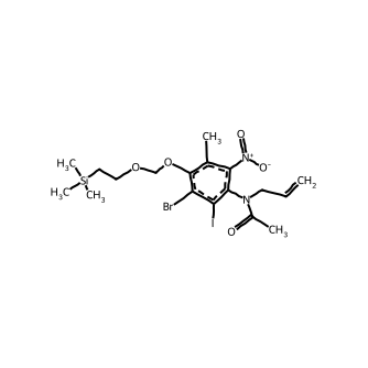 C=CCN(C(C)=O)c1c(I)c(Br)c(OCOCC[Si](C)(C)C)c(C)c1[N+](=O)[O-]